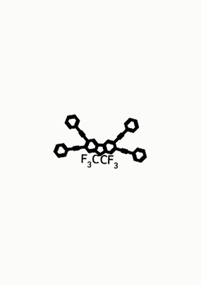 FC(F)(F)C1(C(F)(F)F)c2cc(C#Cc3ccccc3)c(C#Cc3ccccc3)cc2-c2cc(C#Cc3ccccc3)c(C#Cc3ccccc3)cc21